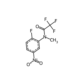 CN(C(=O)C(F)(F)F)c1cc([N+](=O)[O-])ccc1F